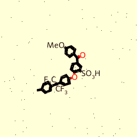 COc1ccc(C(=O)c2ccc(Oc3ccc(C(c4ccc(C)cc4)(C(F)(F)F)C(F)(F)F)cc3)c(S(=O)(=O)O)c2)cc1